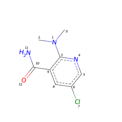 CN(C)c1ncc(Cl)cc1C(N)=O